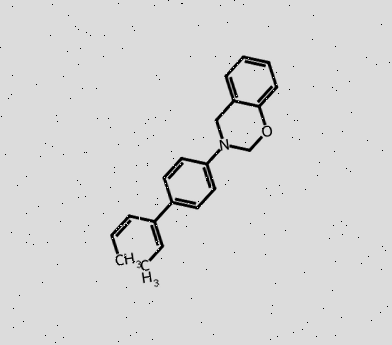 C/C=C\C(=C/C)c1ccc(N2COc3ccccc3C2)cc1